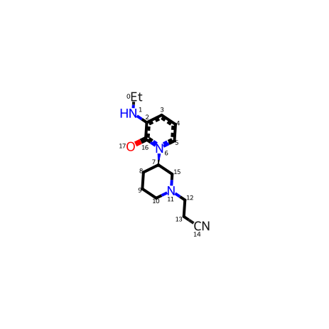 CCNc1cccn([C@@H]2CCCN(CCC#N)C2)c1=O